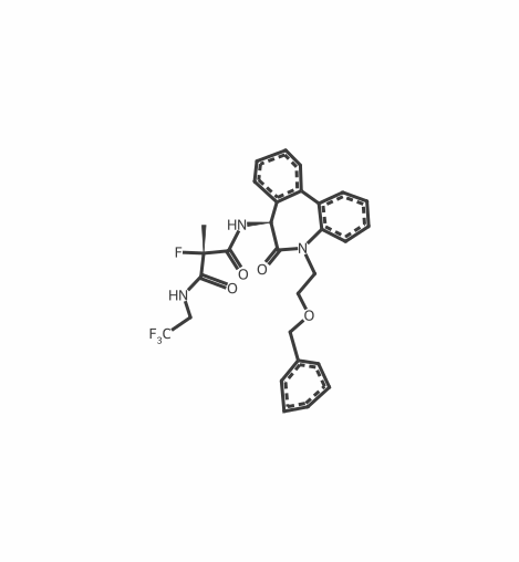 C[C@](F)(C(=O)NCC(F)(F)F)C(=O)N[C@@H]1C(=O)N(CCOCc2ccccc2)c2ccccc2-c2ccccc21